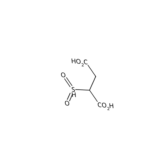 O=C(O)CC(C(=O)O)[SH](=O)=O